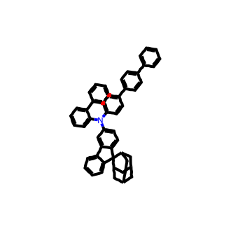 c1ccc(-c2ccc(-c3ccc(N(c4ccc5c(c4)-c4ccccc4C54C5CC6CC(C5)CC4C6)c4ccccc4-c4ccccc4)cc3)cc2)cc1